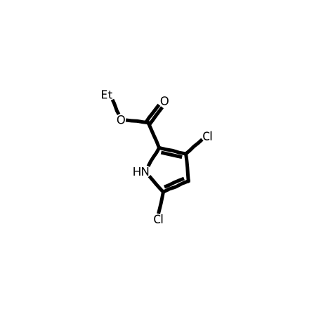 CCOC(=O)c1[nH]c(Cl)cc1Cl